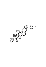 CC12Cc3cnn(-c4ccc(F)cc4)c3C=C1CCC1C2[C@@H](O)CC2(C)C1CC[C@]2(O)C(=O)Cn1cccn1